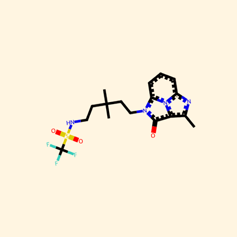 Cc1nc2cccc3n(CCC(C)(C)CCNS(=O)(=O)C(F)(F)F)c(=O)c1n23